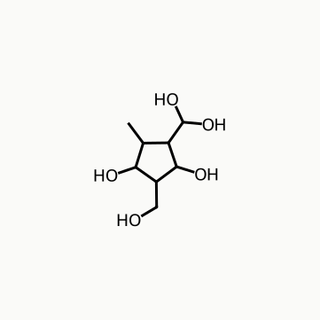 CC1C(O)C(CO)C(O)C1C(O)O